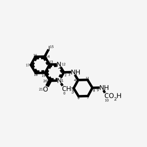 Cn1c(NC2CCCC(NC(=O)O)C2)nc2c(I)cccc2c1=O